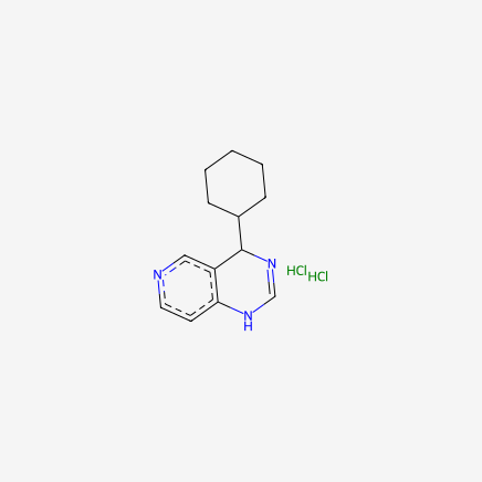 C1=NC(C2CCCCC2)c2cnccc2N1.Cl.Cl